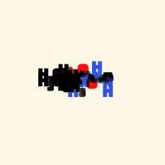 C[C@H]1[C@H]2C[C@H](C[C@H]1Nc1cnn(CC(=O)NC[C@H]3CCCN3)c(=O)c1Br)C2(C)C